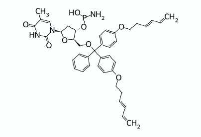 C=CC=CCCOc1ccc(C(OC[C@H]2O[C@@H](n3cc(C)c(=O)[nH]c3=O)C[C@@H]2OP(N)O)(c2ccccc2)c2ccc(OCCC=CC=C)cc2)cc1